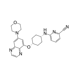 N#Cc1cccc(N[C@H]2CC[C@@H](Oc3cc(N4CCOCC4)cc4nccnc34)CC2)n1